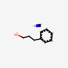 C#N.OCCCc1ccccc1